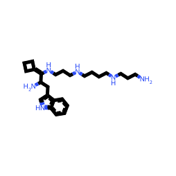 NCCCNCCCCNCCCNC(=C1CCC1)C(N)Cc1c[nH]c2ccccc12